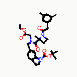 CCOC(=O)CN(Cc1ccc2ccn(C(=O)OC(C)(C)C)c2c1)C(=O)C1(C)CCN1C(=O)Cc1cc(C)cc(C)c1